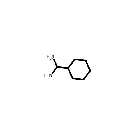 BC(B)C1CCCCC1